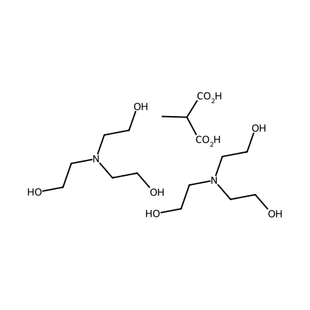 CC(C(=O)O)C(=O)O.OCCN(CCO)CCO.OCCN(CCO)CCO